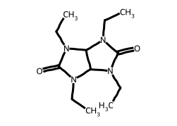 CCN1C(=O)N(CC)C2C1N(CC)C(=O)N2CC